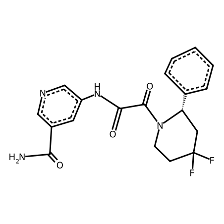 NC(=O)c1cncc(NC(=O)C(=O)N2CCC(F)(F)C[C@H]2c2ccccc2)c1